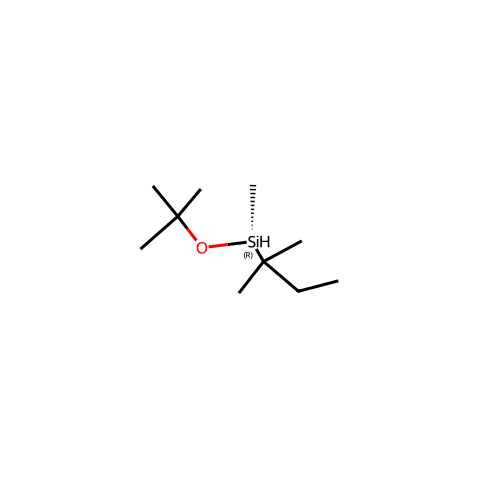 CCC(C)(C)[Si@@H](C)OC(C)(C)C